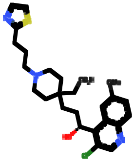 COc1ccc2ncc(Cl)c([C@H](O)CCC3(CC(=O)O)CCN(CCCc4nccs4)CC3)c2c1